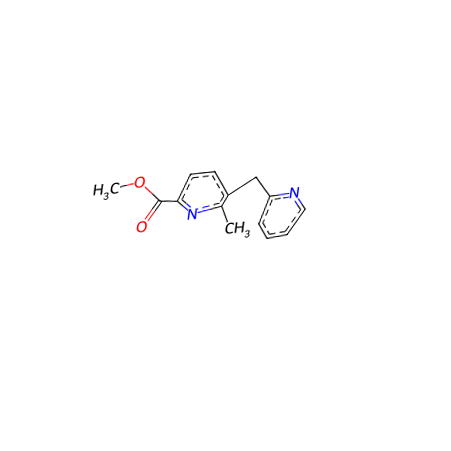 COC(=O)c1ccc(Cc2ccccn2)c(C)n1